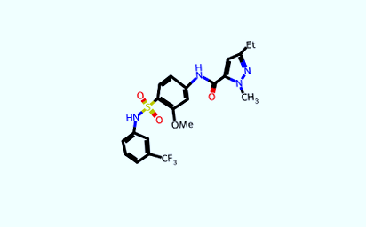 CCc1cc(C(=O)Nc2ccc(S(=O)(=O)Nc3cccc(C(F)(F)F)c3)c(OC)c2)n(C)n1